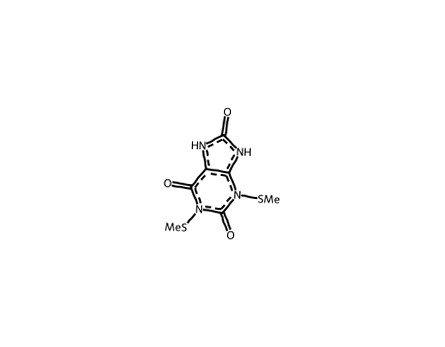 CSn1c(=O)c2[nH]c(=O)[nH]c2n(SC)c1=O